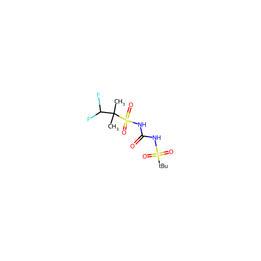 CC(C)(C)S(=O)(=O)NC(=O)NS(=O)(=O)C(C)(C)C(F)F